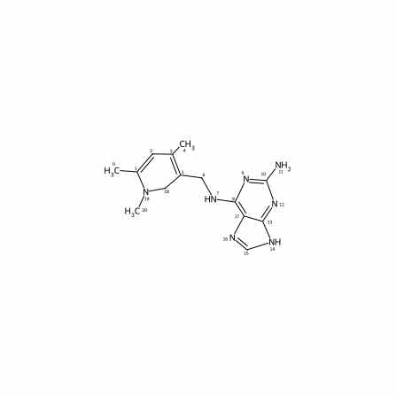 CC1=CC(C)=C(CNc2nc(N)nc3[nH]cnc23)CN1C